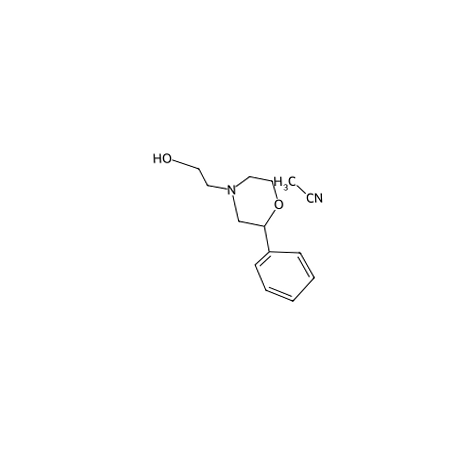 CC#N.OCCN1CCOC(c2ccccc2)C1